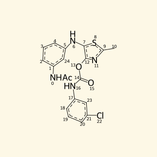 CC(=O)Nc1cccc(Nc2sc(C)nc2OC(=O)Nc2cccc(Cl)c2)c1